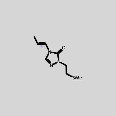 C/C=C/n1cnn(CCSC)c1=O